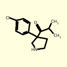 CC(C)C(=O)C1(c2ccc(Cl)cc2)CCNC1